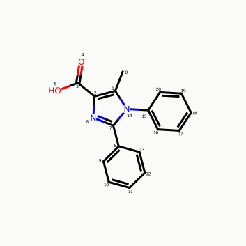 Cc1c(C(=O)O)nc(-c2ccccc2)n1-c1ccccc1